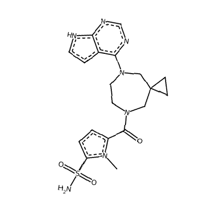 Cn1c(C(=O)N2CCN(c3ncnc4[nH]ccc34)CC3(CC3)C2)ccc1S(N)(=O)=O